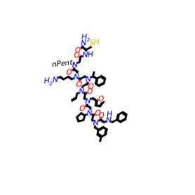 C=CCN(CC(=O)N(CC(=O)N(CCCCN)CC(=O)N(CCCCC)CC(=O)NC(CS)C(N)=O)C(C)c1ccccc1)C(=O)CN(Cc1ccco1)C(=O)CN(C(=O)CN(Cc1cccc(C)c1)C(=O)CNCc1ccccc1)C1CCCC1